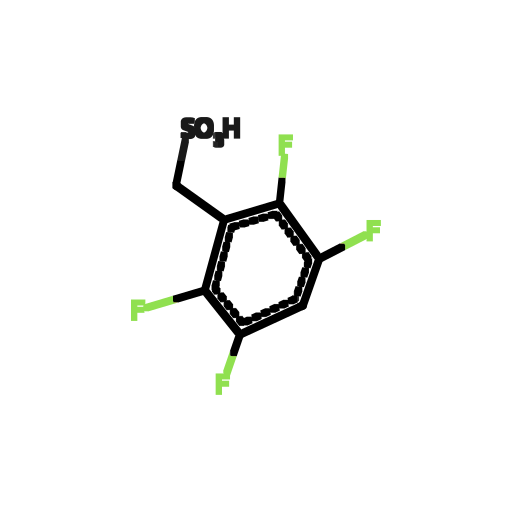 O=S(=O)(O)Cc1c(F)c(F)cc(F)c1F